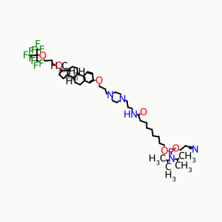 CC(C)N(C(C)C)P(OCCC#N)OCCCCCCCCC(=O)NCCCN1CCN(CCCOc2ccc3c(c2)CC[C@@H]2[C@@H]3CC[C@]3(C)[C@@H](OCCCOC(C(F)(F)F)(C(F)(F)F)C(F)(F)F)CC[C@@H]23)CC1